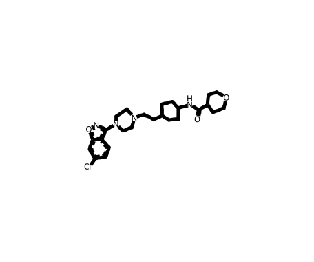 O=C(NC1CCC(CCN2CCN(c3noc4cc(Cl)ccc34)CC2)CC1)C1CCOCC1